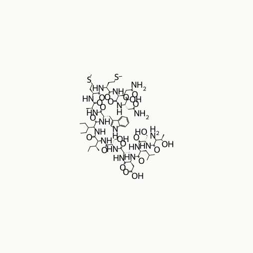 CCC(CC)[C@H](NC(=O)[C@@H](NC(=O)[C@H](CO)NC(=O)[C@H](C)NC(=O)[C@H](CC(=O)O)NC(=O)[C@H](CC(C)C)NC(=O)[C@H](CO)NC(=O)[C@@H](N)[C@@H](C)O)[C@@H](C)CC)C(=O)N[C@@H](Cc1c[nH]c2ccccc12)C(=O)N[C@@H](C)C(=O)N[C@@H](CCSC)C(=O)N[C@@H](CCSC)C(=O)N[C@@H](CCC(N)=O)C(=O)N[C@@H](CC(N)=O)C(=O)O